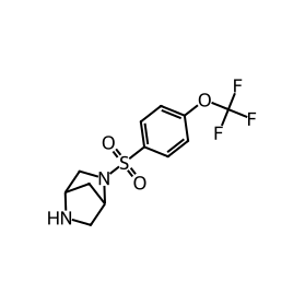 O=S(=O)(c1ccc(OC(F)(F)F)cc1)N1CC2CC1CN2